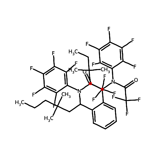 CCCC(C)(C)CC(c1ccccc1C(CC(C)(C)CC)N(C(=O)C(F)(F)F)c1c(F)c(F)c(F)c(F)c1F)N(C(=O)C(F)(F)F)c1c(F)c(F)c(F)c(F)c1F